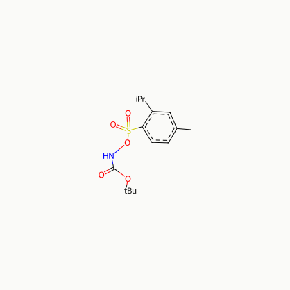 Cc1ccc(S(=O)(=O)ONC(=O)OC(C)(C)C)c(C(C)C)c1